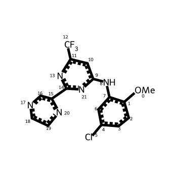 COc1ccc(Cl)cc1Nc1cc(C(F)(F)F)nc(-c2cnccn2)n1